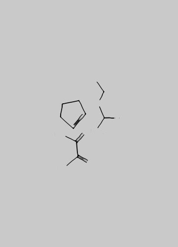 C1=CCCC1.C=C(C)C(=O)O.CCOC(C)O